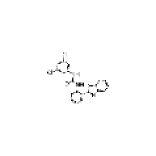 O=C(Nc1cc(Cl)cc(Cl)c1)Nc1ccccc1-c1nc2ccccc2s1